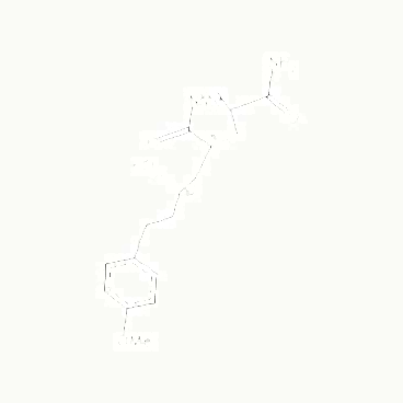 CNC(=O)[C@H](CC(C)C(N)=O)C[C@@H](O)[CH]Cc1ccc(OC)cc1